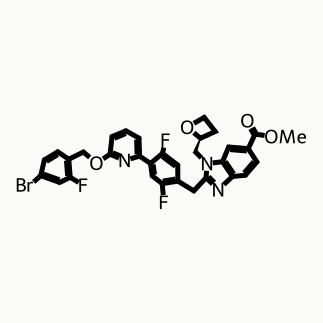 COC(=O)c1ccc2nc(Cc3cc(F)c(-c4cccc(OCc5ccc(Br)cc5F)n4)cc3F)n(C[C@@H]3CCO3)c2c1